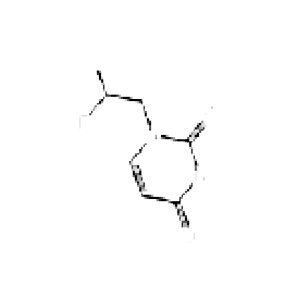 O=C1C=CN(CC(F)F)C(=O)[N]1